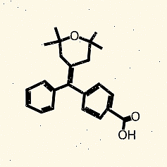 CC1(C)CC(=C(c2ccccc2)c2ccc(C(=O)O)cc2)CC(C)(C)O1